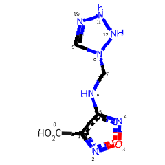 O=C(O)c1nonc1NCN1C=NNN1